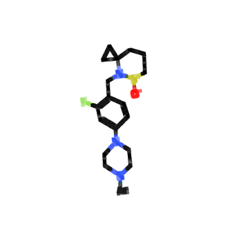 CC(=O)N1CCN(c2ccc(CN3[S+]([O-])CCCC34CC4)c(F)c2)CC1